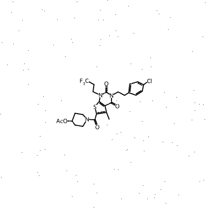 CC(=O)OC1CCN(C(=O)c2sc3c(c2C)c(=O)n(CCc2ccc(Cl)cc2)c(=O)n3CCC(F)(F)F)CC1